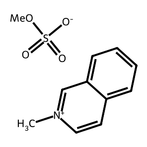 COS(=O)(=O)[O-].C[n+]1ccc2ccccc2c1